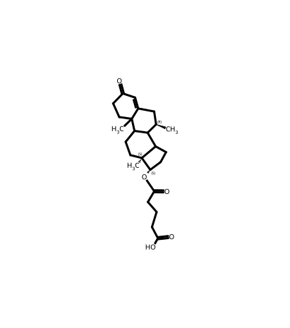 C[C@@H]1CC2=CC(=O)CCC2(C)C2CC[C@@]3(C)C(CC[C@@H]3OC(=O)CCCC(=O)O)C21